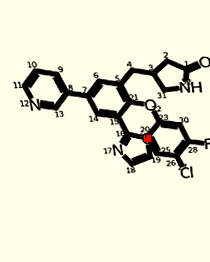 O=C1CC(Cc2cc(-c3cccnc3)cc(-c3ncco3)c2Oc2ccc(Cl)c(F)c2)CN1